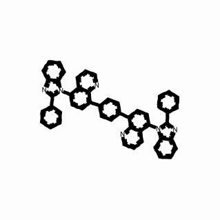 c1ccc(-c2nc3ccccc3n2-c2ccc(-c3ccc(-c4ccc(-n5c(-c6ccccc6)nc6ccccc65)c5cccnc45)cc3)c3ncccc23)cc1